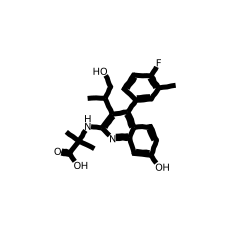 Cc1cc(-c2c(C(C)CO)c(NC(C)(C)C(=O)O)nc3cc(O)ccc23)ccc1F